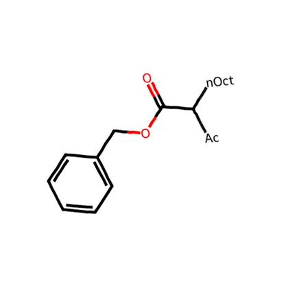 CCCCCCCCC(C(C)=O)C(=O)OCc1ccccc1